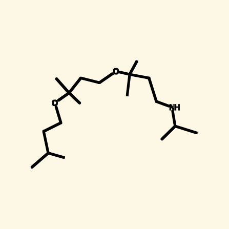 CC(C)CCOC(C)(C)CCOC(C)(C)CCNC(C)C